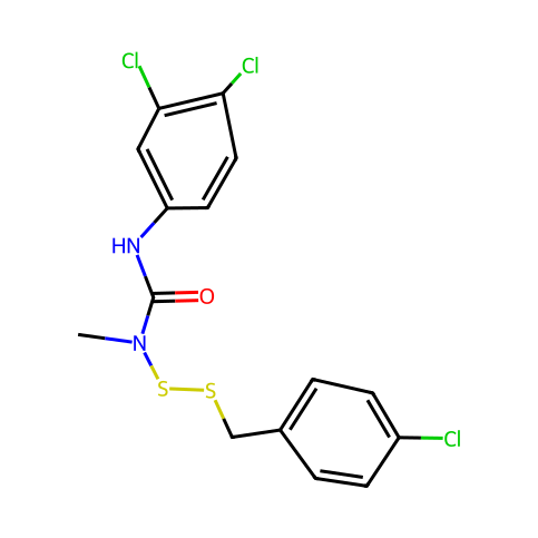 CN(SSCc1ccc(Cl)cc1)C(=O)Nc1ccc(Cl)c(Cl)c1